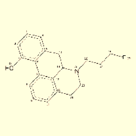 Oc1cccc2c1-c1cccc3c1C(C2)N(CCCF)CC3